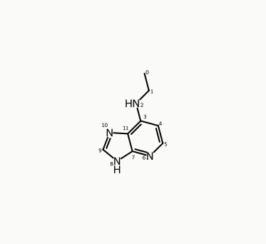 CCNc1ccnc2[nH]cnc12